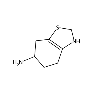 NC1CCC2=C(C1)SCN2